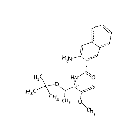 COC(=O)[C@@H](NC(=O)c1cc2ccccc2cc1N)C(C)OC(C)(C)C